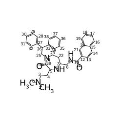 CN(C)CCC1NC(CNC(=O)c2ccc3ccccc3c2)CCN(CC(c2ccccc2)c2ccccc2)C1=O